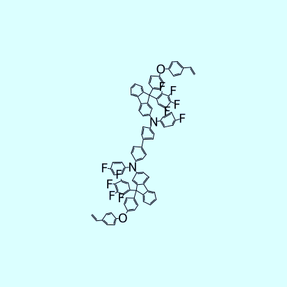 C=Cc1ccc(Oc2ccc(C3(c4cc(F)c(F)c(F)c4F)c4ccccc4-c4ccc(N(c5ccc(F)cc5)c5ccc(-c6ccc(N(c7ccc(F)cc7)c7ccc8c(c7)C(c7ccc(Oc9ccc(C=C)cc9)cc7)(c7cc(F)c(F)c(F)c7F)c7ccccc7-8)cc6)cc5)cc43)cc2)cc1